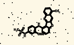 COc1cc(NS(C)(=O)=O)ccc1Nc1cccc2oc3cc4c(C)cccc4nc3c12